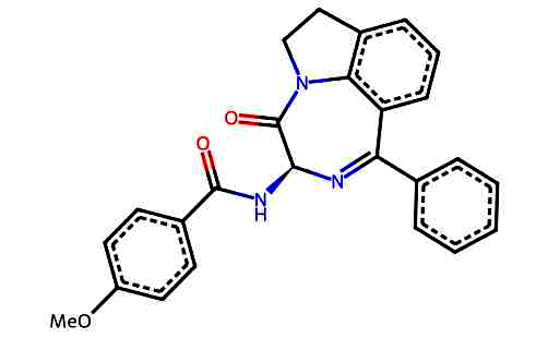 COc1ccc(C(=O)N[C@@H]2N=C(c3ccccc3)c3cccc4c3N(CC4)C2=O)cc1